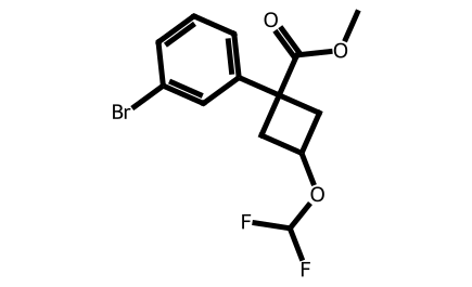 COC(=O)C1(c2cccc(Br)c2)CC(OC(F)F)C1